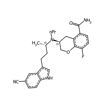 CCCN([C@@H]1COc2c(F)ccc(C(N)=O)c2C1)[C@@H](C)CCc1c[nH]c2ccc(C#N)cc12